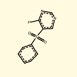 O=S(=O)(c1ccccc1)c1[c]ncnc1F